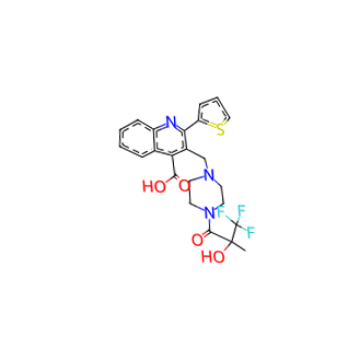 CC(O)(C(=O)N1CCN(Cc2c(-c3cccs3)nc3ccccc3c2C(=O)O)CC1)C(F)(F)F